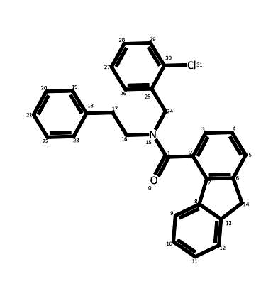 O=C(c1cccc2c1-c1ccccc1C2)N(CCc1ccccc1)Cc1ccccc1Cl